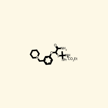 CCCC(C)(NC(=O)OCC)SC(Oc1cccc(CN2CCCCC2)c1)C(N)=O